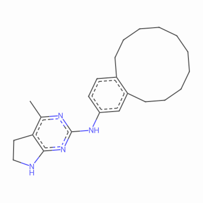 Cc1nc(Nc2ccc3c(c2)CCCCCCCCCC3)nc2c1CCN2